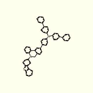 c1ccc(-c2ccc(N(c3ccc(-c4ccccc4)cc3)c3ccc(-c4ccc5c(c4)-c4ccccc4N(c4ccc6sc7ccccc7c6c4)C5)cc3)cc2)cc1